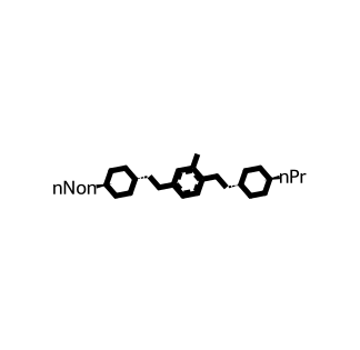 CCCCCCCCC[C@H]1CC[C@H](CCc2ccc(CC[C@H]3CC[C@H](CCC)CC3)c(C)c2)CC1